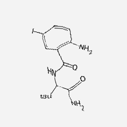 CC(C)(C)C(NC(=O)c1cc(I)ccc1N)C(N)=O